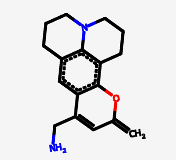 C=C1C=C(CN)c2cc3c4c(c2O1)CCCN4CCC3